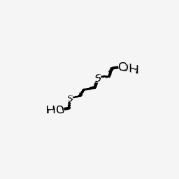 OCCSCCCSCO